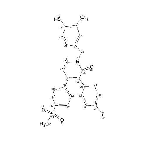 Cc1cc(Cn2ncc(-c3ccc(S(C)(=O)=O)cc3)c(-c3ccc(F)cc3)c2=O)ccc1S